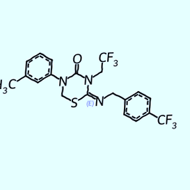 Cc1cccc(N2CS/C(=N/Cc3ccc(C(F)(F)F)cc3)N(CC(F)(F)F)C2=O)c1